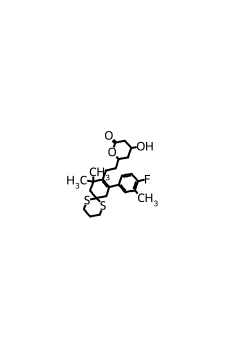 Cc1cc(C2=C(CCC3CC(O)CC(=O)O3)C(C)(C)CC3(C2)SCCCS3)ccc1F